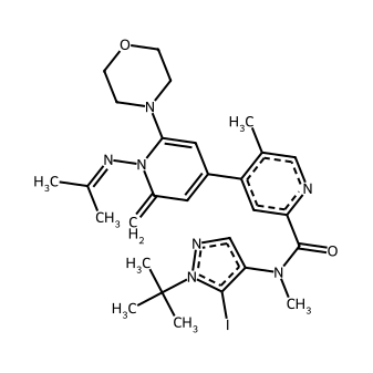 C=C1C=C(c2cc(C(=O)N(C)c3cnn(C(C)(C)C)c3I)ncc2C)C=C(N2CCOCC2)N1N=C(C)C